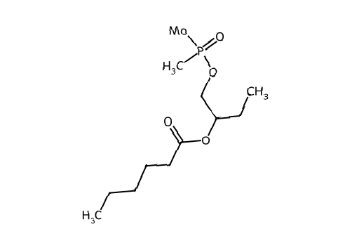 CCCCCC(=O)OC(CC)CO[P](C)(=O)[Mo]